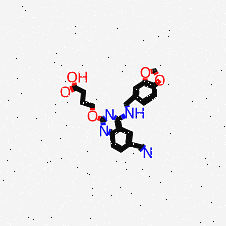 N#Cc1ccc2nc(OCCCC(=O)O)nc(NCc3ccc4c(c3)OCO4)c2c1